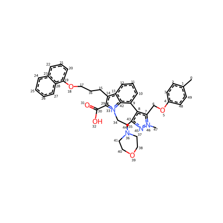 Cc1ccc(OCc2c(-c3cccc4c(CCCOc5cccc6ccccc56)c(C(=O)O)n(CCN5CCOCC5)c34)c(C)nn2C)cc1